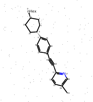 CCCCCC[C@H]1CC[C@H](c2ccc(C#Cc3ccc(C)cn3)cc2)CC1